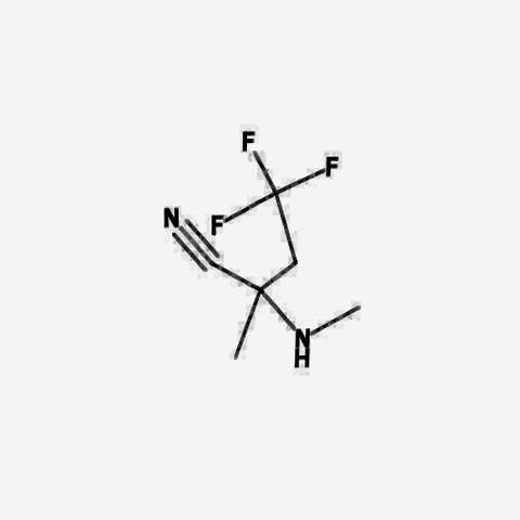 CNC(C)(C#N)CC(F)(F)F